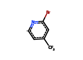 FC(F)(F)c1c[c]nc(Br)c1